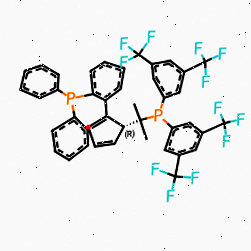 CC(C)([C@@H]1C=CC=C1c1ccccc1P(c1ccccc1)c1ccccc1)P(c1cc(C(F)(F)F)cc(C(F)(F)F)c1)c1cc(C(F)(F)F)cc(C(F)(F)F)c1